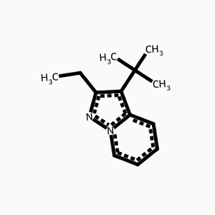 CCc1nn2ccccc2c1C(C)(C)C